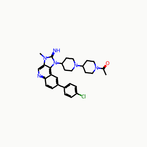 CC(=O)N1CCC(N2CCC(n3c(=N)n(C)c4cnc5ccc(-c6ccc(Cl)cc6)cc5c43)CC2)CC1